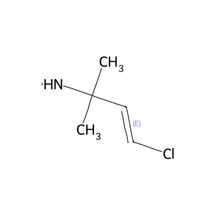 CC(C)([NH])/C=C/Cl